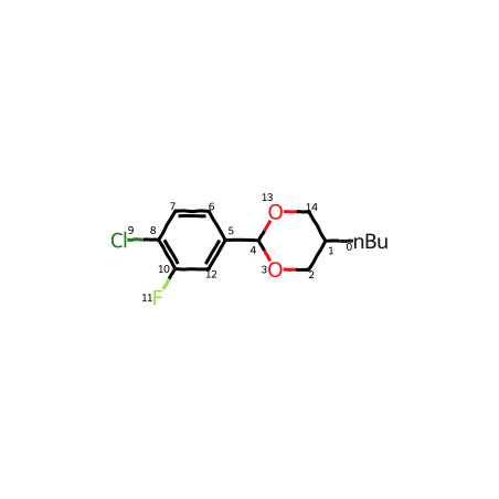 CCCCC1COC(c2ccc(Cl)c(F)c2)OC1